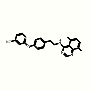 N#Cc1ccnc(Oc2ccc(CCNc3ncnc4c(F)ccc(F)c34)cc2)c1